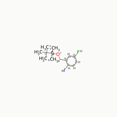 CC(C)(C)[Si](C)(C)OCc1cc(F)ccc1I